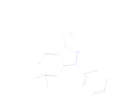 CCOC(=O)c1nn(-c2ccccc2)c2c1CCC(C)(C)C2